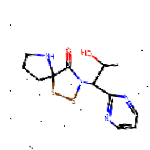 CC(O)C(c1ncccn1)N1SSC2(CCCN2)C1=O